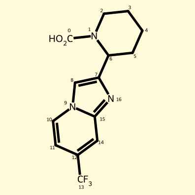 O=C(O)N1CCCCC1c1cn2ccc(C(F)(F)F)cc2n1